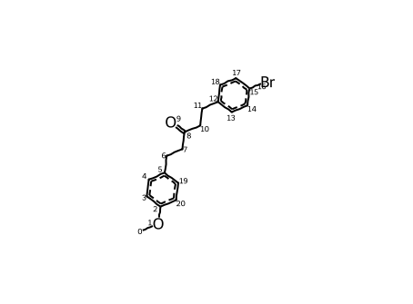 COc1ccc(CCC(=O)CCc2ccc(Br)cc2)cc1